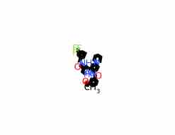 CC(=O)c1cccc(C(=O)Nc2ccc(N3CCCCC3)cc2-c2cc(C(=O)NCc3cccc(C(F)(F)F)c3)ccn2)c1